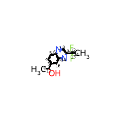 CC(O)c1ccc2ncc(C(C)(F)F)nc2c1